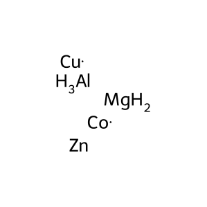 [AlH3].[Co].[Cu].[MgH2].[Zn]